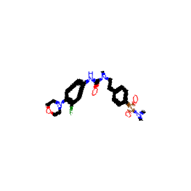 CN(CCc1ccc(S(=O)(=O)N(C)C)cc1)C(=O)Nc1ccc(N2CCOCC2)c(F)c1